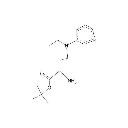 CCN(CCC(N)C(=O)OC(C)(C)C)c1ccccc1